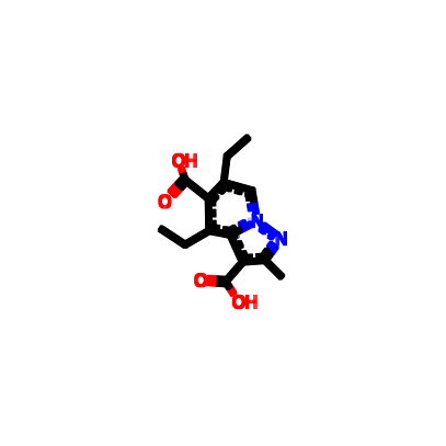 CCc1cn2nc(C)c(C(=O)O)c2c(CC)c1C(=O)O